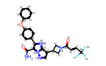 NC(=O)c1c(-c2ccc(Oc3ccccc3)cc2)[nH]c2c(C3CN(C(=O)/C=C/C(F)(F)F)C3)cnn12